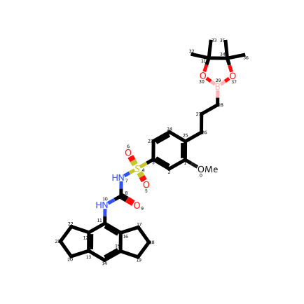 COc1cc(S(=O)(=O)NC(=O)Nc2c3c(cc4c2CCC4)CCC3)ccc1CCCB1OC(C)(C)C(C)(C)O1